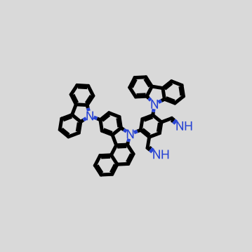 N=Cc1cc(C=N)c(-n2c3ccc(-n4c5ccccc5c5ccccc54)cc3c3c4ccccc4ccc32)cc1-n1c2ccccc2c2ccccc21